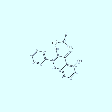 C[S+](C)[O-].O=c1c(O)c(-c2ccccc2)oc2cccc(O)c12